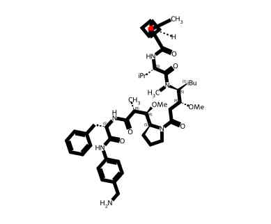 CC[C@H](C)[C@@H]([C@@H](CC(=O)N1CCC[C@H]1[C@H](OC)[C@@H](C)C(=O)N[C@@H](Cc1ccccc1)C(=O)Nc1ccc(CN)cc1)OC)N(C)C(=O)[C@@H](NC(=O)[C@@H]1C2CC(C2)N1C)C(C)C